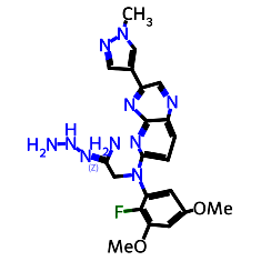 COc1cc(OC)c(F)c(N(C/C(N)=N/NN)c2ccc3ncc(-c4cnn(C)c4)nc3n2)c1